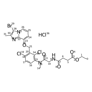 CCOC(=O)CCC(=O)NCC(=O)N(C)c1ccc(Cl)c(COc2cccn3c(Br)c(C)nc23)c1Cl.Cl